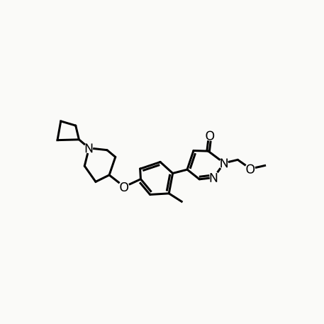 COCn1ncc(-c2ccc(OC3CCN(C4CCC4)CC3)cc2C)cc1=O